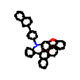 c1ccc(N(c2ccc(-c3ccc4ccccc4c3)cc2)c2ccc3c(c2)oc2ccccc23)c(-c2cc3ccccc3c3ccccc23)c1